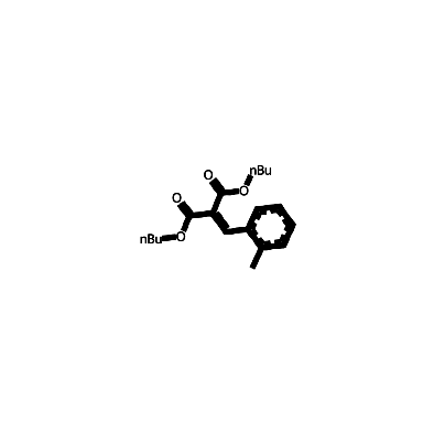 CCCCOC(=O)C(=Cc1ccccc1C)C(=O)OCCCC